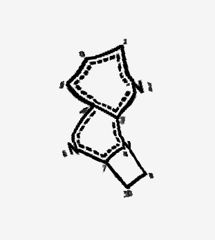 c1cnc2c(c1)nc1n2CC1